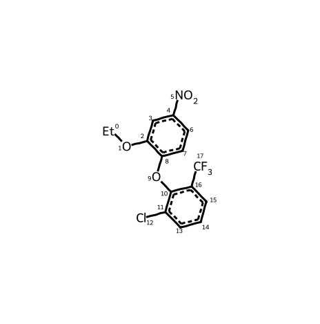 CCOc1cc([N+](=O)[O-])ccc1Oc1c(Cl)cccc1C(F)(F)F